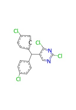 Clc1ccc(C(c2ccc(Cl)cc2)c2cnc(Cl)nc2Cl)cc1